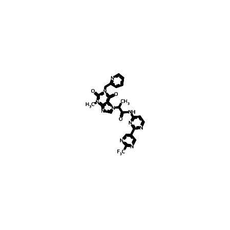 CC(C(=O)Nc1ccnc(-c2cnc(C(F)(F)F)nc2)n1)n1cnc2c1c(=O)n(Cc1ccccn1)c(=O)n2C